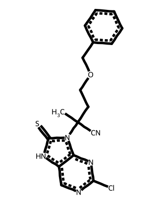 CC(C#N)(CCOCc1ccccc1)n1c(=S)[nH]c2cnc(Cl)nc21